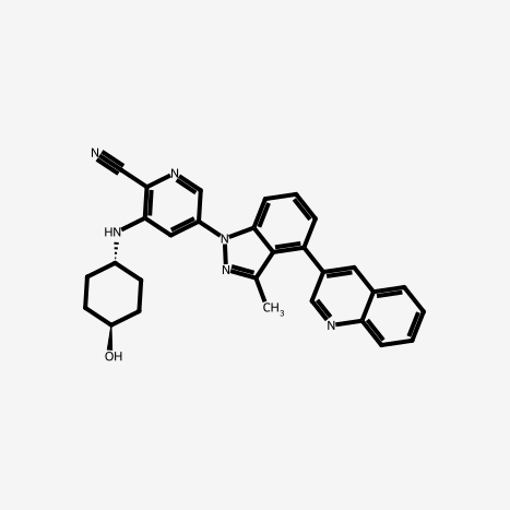 Cc1nn(-c2cnc(C#N)c(N[C@H]3CC[C@H](O)CC3)c2)c2cccc(-c3cnc4ccccc4c3)c12